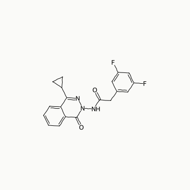 O=C(Cc1cc(F)cc(F)c1)Nn1nc(C2CC2)c2ccccc2c1=O